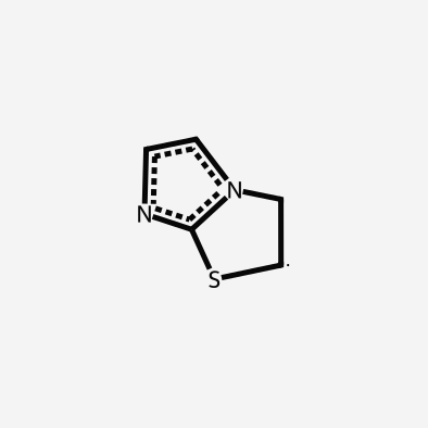 [CH]1Cn2ccnc2S1